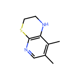 Cc1cnc2c(c1C)NCCS2